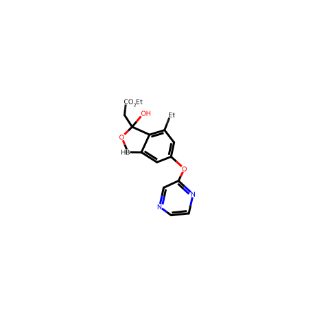 CCOC(=O)CC1(O)OBc2cc(Oc3cnccn3)cc(CC)c21